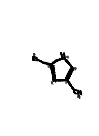 CCc1nc(C#N)c[nH]1